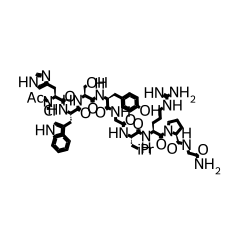 CC(=O)N(Cl)[C@@H](Cc1c[nH]cn1)C(=O)N[C@@H](Cc1c[nH]c2ccccc12)C(=O)N[C@@H](CO)C(=O)N[C@@H](Cc1ccc(O)cc1)C(=O)NCC(=O)N[C@@H](CC(C)C)C(=O)N[C@@H](CCCNC(=N)N)C(=O)N1CCC[C@H]1C(=O)NCC(N)=O